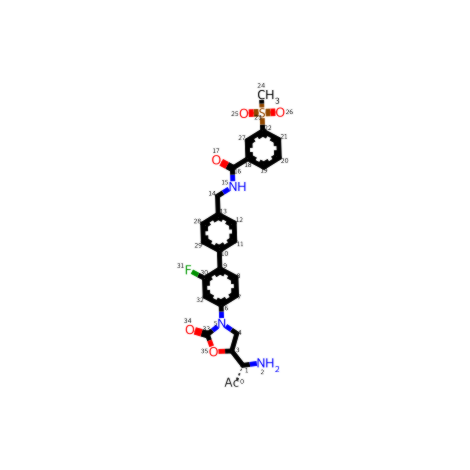 CC(=O)[C@@H](N)C1CN(c2ccc(-c3ccc(CNC(=O)c4cccc(S(C)(=O)=O)c4)cc3)c(F)c2)C(=O)O1